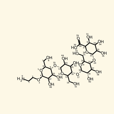 NCCO[C@H]1OC(CO)[C@H](O[C@H]2OC(CO)[C@@H](O[C@@H]3OC(CO)[C@@H](O[C@@H]4OC(C(=O)O)[C@@H](O)C(O)C4O)C(O)[C@@H]3O)C(O)C2O)C(O)C1O